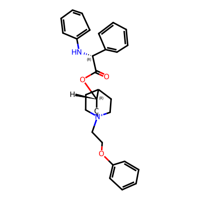 O=C(O[C@H]1C[N+]2(CCOc3ccccc3)CCC1CC2)[C@H](Nc1ccccc1)c1ccccc1